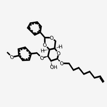 C=CCCCCCCO[C@@H]1O[C@@H]2COC(c3ccccc3)O[C@@H]2[C@H](OCc2ccc(OC)cc2)[C@H]1O